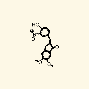 COc1cc2c(cc1OC)C(=O)/C(=C/c1ccc(O)c([N+](=O)[O-])c1)C2